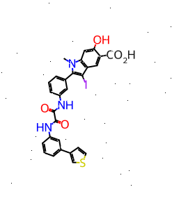 Cn1c(-c2cccc(NC(=O)C(=O)Nc3cccc(-c4ccsc4)c3)c2)c(I)c2cc(C(=O)O)c(O)cc21